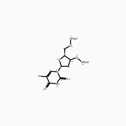 CCCCCOC[C@@H]1O[C@H](n2cc(F)c(=O)[nH]c2=O)CC1OCCCCC